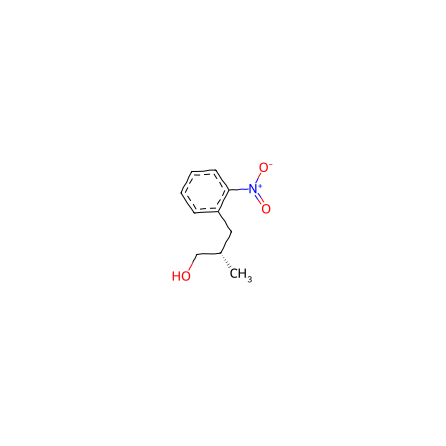 C[C@H](CO)Cc1ccccc1[N+](=O)[O-]